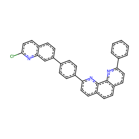 Clc1ccc2ccc(-c3ccc(-c4ccc5ccc6ccc(-c7ccccc7)nc6c5n4)cc3)cc2n1